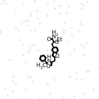 CCOC(Cc1ccc2oc(CC3=COC(C)(c4ccccc4)N3)cc2c1)C(N)=O